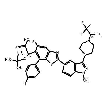 Cc1cc2nc(-c3ccc4c(c3)c(N3CCN([C@H](C)C(F)(F)F)CC3)nn4C)sc2c(-c2ccc(Cl)cc2)c1[C@H](OC(C)(C)C)C(=O)O